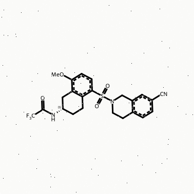 COc1ccc(S(=O)(=O)N2CCc3ccc(C#N)cc3C2)c2c1C[C@@H](NC(=O)C(F)(F)F)CC2